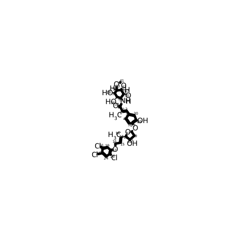 CC(=Cc1ccc(O[C@H]2C[C@H](O)[C@@H](C(C)=CCOc3cc(Cl)c(Cl)cc3Cl)O2)c(O)c1)C(=O)N[C@@H]1[C@H](O)[C@@H](O)[C@H]2OCO[C@H]2[C@@H]1O